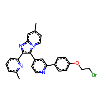 Cc1ccn2c(-c3ccnc(-c4ccc(OCCBr)cc4)c3)c(-c3cccc(C)n3)nc2c1